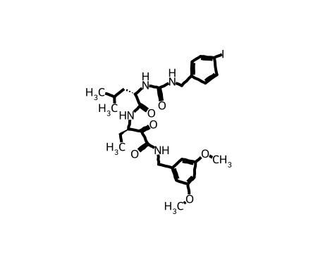 CC[C@@H](NC(=O)[C@H](CC(C)C)NC(=O)NCc1ccc(I)cc1)C(=O)C(=O)NCc1cc(OC)cc(OC)c1